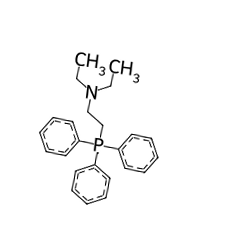 CCN(CC)CC[P](c1ccccc1)(c1ccccc1)c1ccccc1